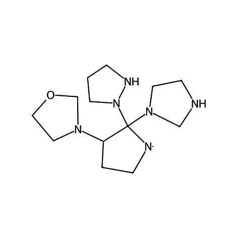 C1CNN(C2(N3CCNC3)[N]CCC2N2CCOC2)C1